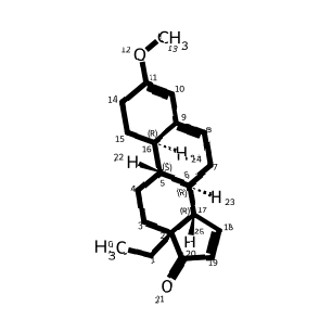 CCC12CC[C@H]3[C@@H](CC=C4C=C(OC)CC[C@@H]43)[C@@H]1C=CC2=O